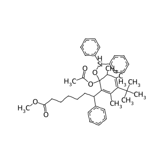 COC(=O)CCCCCC(C1=C(C)C(C(C)(C)C)=C(C)C(C)C1(OC(C)=O)O[SiH](c1ccccc1)c1ccccc1)c1ccccc1